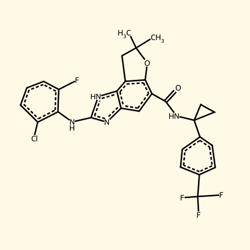 CC1(C)Cc2c(c(C(=O)NC3(c4ccc(C(F)(F)F)cc4)CC3)cc3nc(Nc4c(F)cccc4Cl)[nH]c23)O1